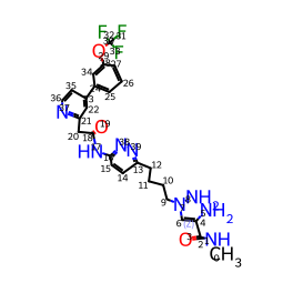 CNC(=O)/C(N)=C/N(N)CCCCc1ccc(NC(=O)Cc2cc(-c3cccc(OC(F)(F)F)c3)ccn2)nn1